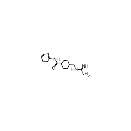 N=C(N)NC[C@H]1CC[C@H](C(=O)Nc2ccccc2)CC1